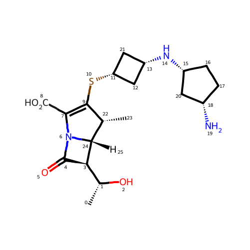 C[C@@H](O)[C@H]1C(=O)N2C(C(=O)O)=C(S[C@H]3C[C@@H](N[C@@H]4CC[C@H](N)C4)C3)[C@H](C)[C@H]12